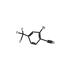 N#Cc1ccc(C(F)(F)F)cc1Br